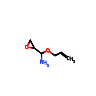 C=CCOC(N)C1CO1